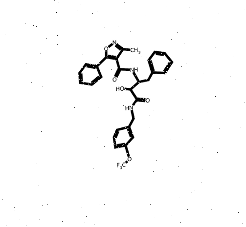 Cc1noc(-c2ccccc2)c1C(=O)NC(Cc1ccccc1)C(O)C(=O)NCc1cccc(OC(F)(F)F)c1